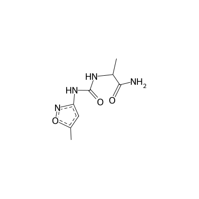 Cc1cc(NC(=O)NC(C)C(N)=O)no1